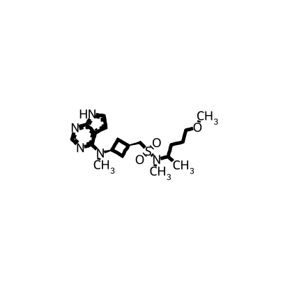 COCCCC(C)N(C)S(=O)(=O)C[C@H]1C[C@@H](N(C)c2ncnc3[nH]ccc23)C1